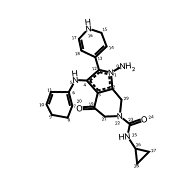 Nn1c2c(c(NC3=CCCC=C3)c1C1=CCNC=C1)C(=O)CN(C(=O)NC1CC1)C2